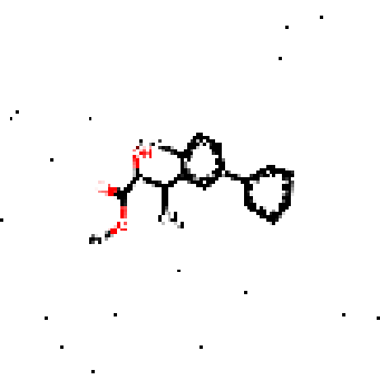 COc1ccc(-c2ccccc2)cc1C(C)C(O)C(=O)OC(C)C